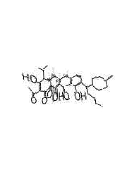 CCCCC(c1ccc2c(c1O)C(=O)C1=C(O)[C@@]3(O)C(=O)C(C(C)=O)=C(O)C(C(C)C)[C@@]3(C)[C@H](C)[C@@]1(C)[C@@H]2C)C1CCC(C)CC1